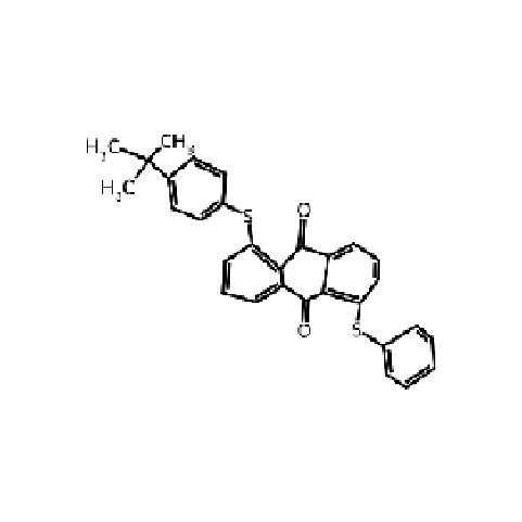 CC(C)(C)c1ccc(Sc2cccc3c2C(=O)c2cccc(Sc4ccccc4)c2C3=O)cc1